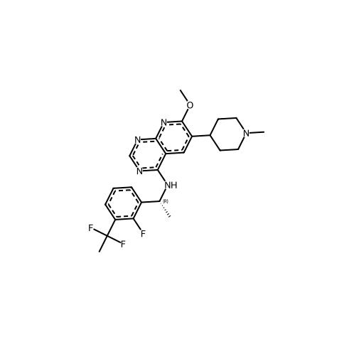 COc1nc2ncnc(N[C@H](C)c3cccc(C(C)(F)F)c3F)c2cc1C1CCN(C)CC1